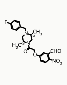 C[C@@H]1CN(Cc2ccc(F)cc2)[C@@H](C)CN1C(=O)COc1ccc([N+](=O)[O-])c(C=O)c1